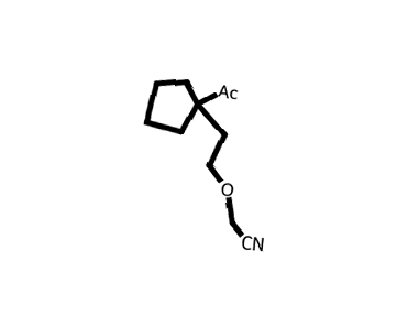 CC(=O)C1(CCOCC#N)CCCC1